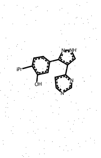 CC(C)c1ccc(-c2n[nH]cc2-c2ccncn2)cc1O